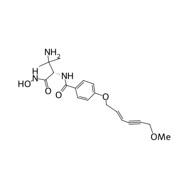 COCC#C/C=C/COc1ccc(C(=O)N[C@H](C(=O)NO)C(C)(C)N)cc1